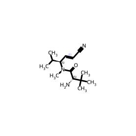 CC(C)[C@@H](/C=C/C#N)N(C)C(=O)[C@@H](N)C(C)(C)C